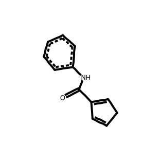 O=C(Nc1ccccc1)C1=CCC=C1